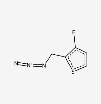 [N-]=[N+]=NCc1sccc1F